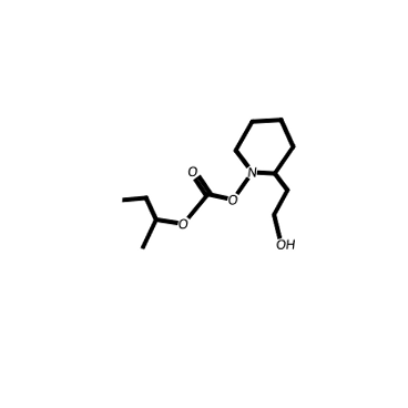 CCC(C)OC(=O)ON1CCCCC1CCO